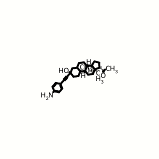 CC(=O)[C@H]1CC[C@H]2[C@@H]3CCC4CC(O)(C#Cc5ccc(N)cc5)CC[C@]4(C)[C@H]3CC[C@]12C